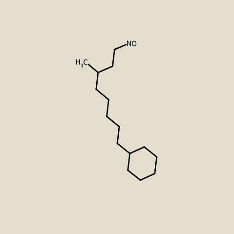 CC(CCCCCC1CCCCC1)CCN=O